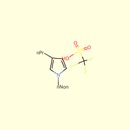 CCCCCCCCCn1ccc(CCC)c1.O=S(=O)(O)C(F)(F)F